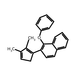 CC1=CCC(c2ccc3ccccc3c2Oc2ccccc2)=C1C